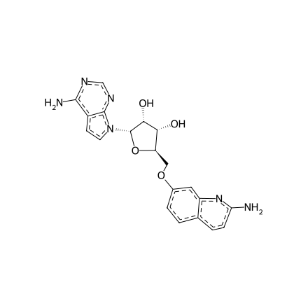 Nc1ccc2ccc(OC[C@H]3O[C@H](n4ccc5c(N)ncnc54)[C@H](O)[C@@H]3O)cc2n1